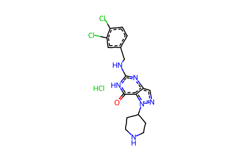 Cl.O=c1[nH]c(NCc2ccc(Cl)c(Cl)c2)nc2cnn(C3CCNCC3)c12